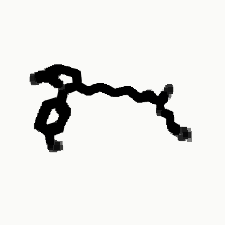 CC(C)(C)c1ccc(N2C(=O)CCC2CCCCCCC(=O)OCCO)cc1